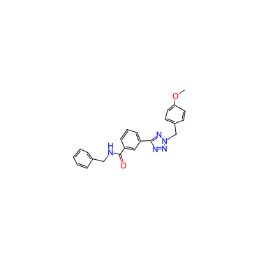 COc1ccc(Cn2nnc(-c3cccc(C(=O)NCc4ccccc4)c3)n2)cc1